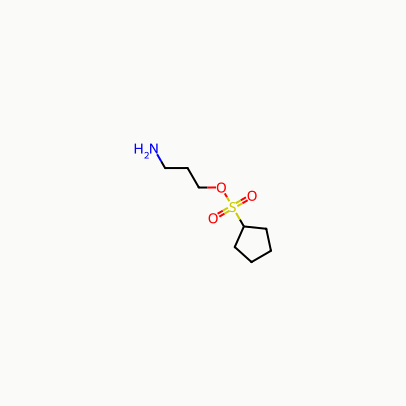 NCCCOS(=O)(=O)C1CCCC1